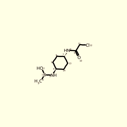 CB(O)N[C@H]1CC[C@H](NC(=O)CCl)CC1